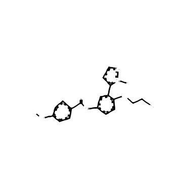 Cn1nccc1-c1cc(NC(=O)c2ccc(OC(F)(F)F)cc2)ccc1OCCN